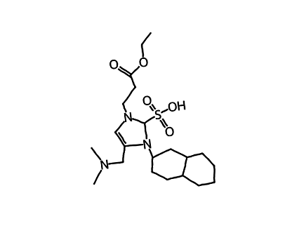 CCOC(=O)CCN1C=C(CN(C)C)N(C2CCC3CCCCC3C2)C1S(=O)(=O)O